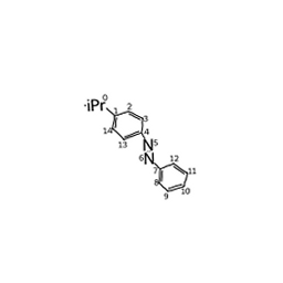 C[C](C)c1ccc(N=Nc2ccccc2)cc1